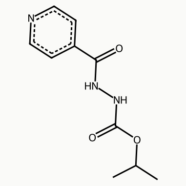 CC(C)OC(=O)NNC(=O)c1ccncc1